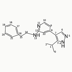 CC(C)c1[nH]ncc1-c1ccnc(NCCc2ccccc2)c1